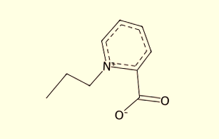 CCC[n+]1ccccc1C(=O)[O-]